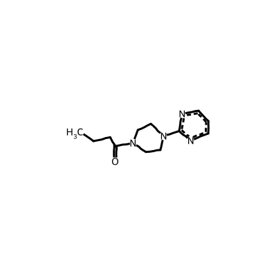 CCCC(=O)N1CCN(c2ncccn2)CC1